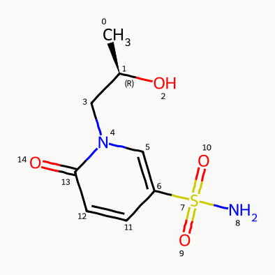 C[C@@H](O)Cn1cc(S(N)(=O)=O)ccc1=O